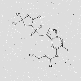 CCOC(O)Nc1cc2c(CS(=O)(=O)C3CC(C)(C)ON3C)noc2cc1F